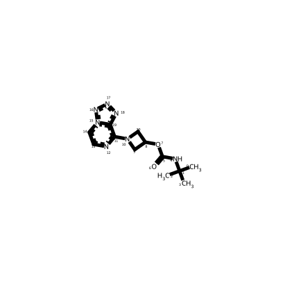 CC(C)(C)NC(=O)OC1CN(c2nccn3nnnc23)C1